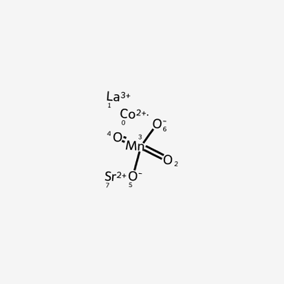 [Co+2].[La+3].[O]=[Mn](=[O])([O-])[O-].[Sr+2]